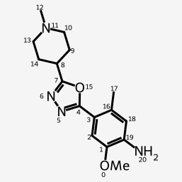 COc1cc(-c2nnc(C3CCN(C)CC3)o2)c(C)cc1N